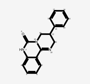 O=C1Nc2ccccc2C2=NCC(c3ccccc3)CN12